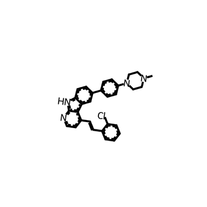 CN1CCN(c2ccc(-c3ccc4[nH]c5nccc(C=Cc6ccccc6Cl)c5c4c3)cc2)CC1